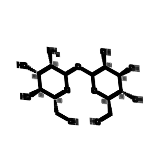 N[C@@H]1C(OC2O[C@H](CO)[C@@H](O)[C@H](O)[C@@H]2O)O[C@H](CO)[C@@H](O)[C@@H]1O